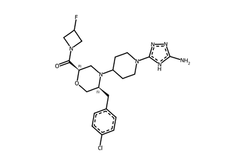 Nc1nnc(N2CCC(N3C[C@H](C(=O)N4CC(F)C4)OC[C@@H]3Cc3ccc(Cl)cc3)CC2)[nH]1